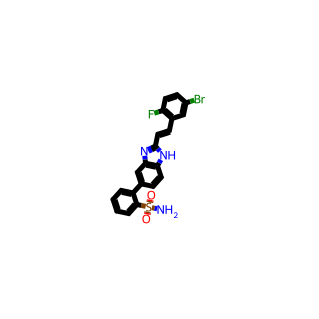 NS(=O)(=O)c1ccccc1-c1ccc2[nH]c(/C=C/c3cc(Br)ccc3F)nc2c1